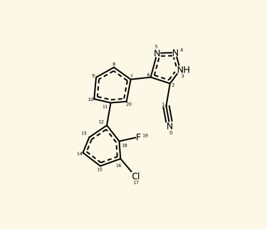 N#Cc1[nH]nnc1-c1cccc(-c2cccc(Cl)c2F)c1